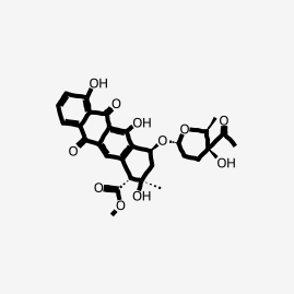 COC(=O)[C@@H]1c2cc3c(c(O)c2[C@@H](O[C@H]2CC[C@@](O)(C(C)=O)[C@H](C)O2)C[C@@]1(C)O)C(=O)c1c(O)cccc1C3=O